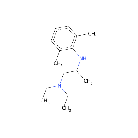 CCN(CC)CC(C)Nc1c(C)cccc1C